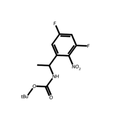 CC(NC(=O)OC(C)(C)C)c1cc(F)cc(F)c1[N+](=O)[O-]